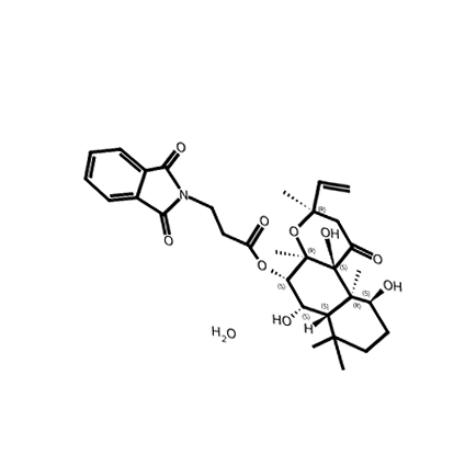 C=C[C@@]1(C)CC(=O)[C@]2(O)[C@@]3(C)[C@@H](O)CCC(C)(C)[C@@H]3[C@H](O)[C@H](OC(=O)CCN3C(=O)c4ccccc4C3=O)[C@@]2(C)O1.O